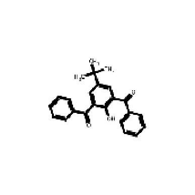 CC(C)(C)c1cc(C(=O)c2ccccc2)c(O)c(C(=O)c2ccccc2)c1